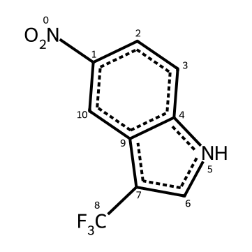 O=[N+]([O-])c1ccc2[nH]cc(C(F)(F)F)c2c1